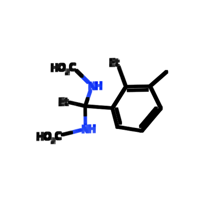 CCc1c(C)cccc1C(CC)(NC(=O)O)NC(=O)O